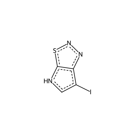 Ic1c[nH]c2snnc12